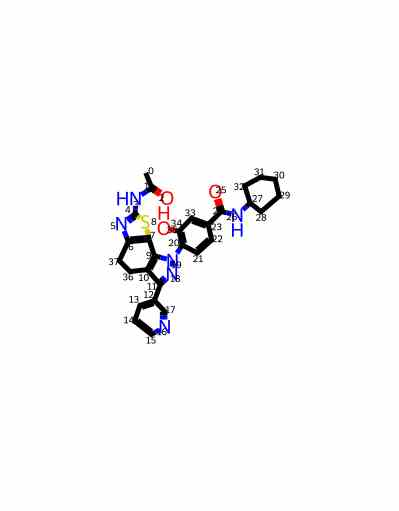 CC(=O)Nc1nc2c(s1)-c1c(c(-c3cccnc3)nn1-c1ccc(C(=O)NC3CCCCC3)cc1O)CC2